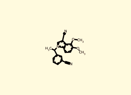 COc1ccc2c(c(C#N)cn2C(C)c2cccc(C#N)c2)c1OC